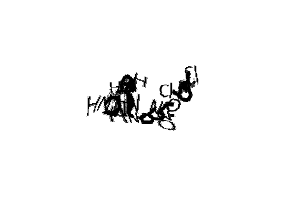 C[C@@H]1CN(C(=NC2C[C@H]3C[C@@H]([C@@H]2C)C3(C)C)Nc2ccc3c(=O)n(C)c(COc4ccc(Cl)cc4Cl)nc3c2)CCN1